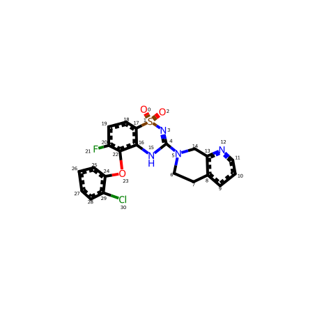 O=S1(=O)N=C(N2CCc3cccnc3C2)Nc2c1ccc(F)c2Oc1ccccc1Cl